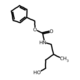 CC(CCO)CNC(=O)OCc1ccccc1